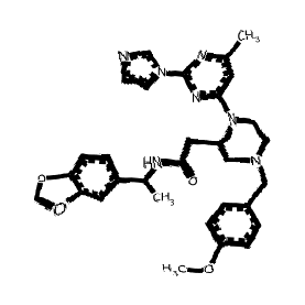 COc1ccc(CN2CCN(c3cc(C)nc(-n4ccnc4)n3)C(CC(=O)NC(C)c3ccc4c(c3)OCO4)C2)cc1